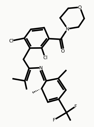 CC1=CC(C(C)(F)F)=C[C@H](C)/C1=N\C(Cc1c(Cl)ccc(C(=O)N2CCOCC2)c1Cl)=C(C)C